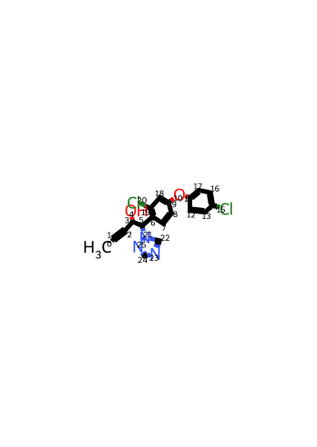 CC#CC(O)C(c1ccc(Oc2ccc(Cl)cc2)cc1Cl)n1cncn1